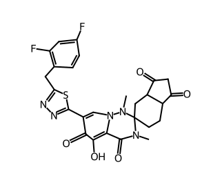 CN1C(=O)c2c(O)c(=O)c(-c3nnc(Cc4ccc(F)cc4F)s3)cn2N(C)C12CCC1C(=O)CC(=O)C1C2